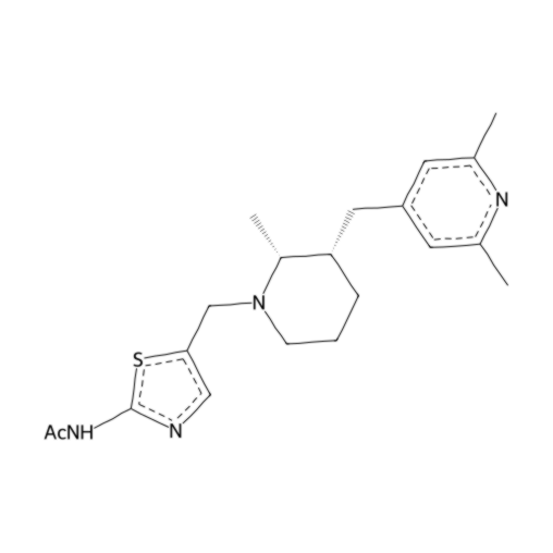 CC(=O)Nc1ncc(CN2CCC[C@@H](Cc3cc(C)nc(C)c3)[C@H]2C)s1